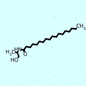 CCCCCCCCCCCCCCCCCC(=O)NC(C)CO